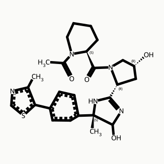 CC(=O)N1CCCC[C@H]1C(=O)N1C[C@H](O)C[C@@H]1C1=NC(O)[C@](C)(c2ccc(-c3scnc3C)cc2)N1